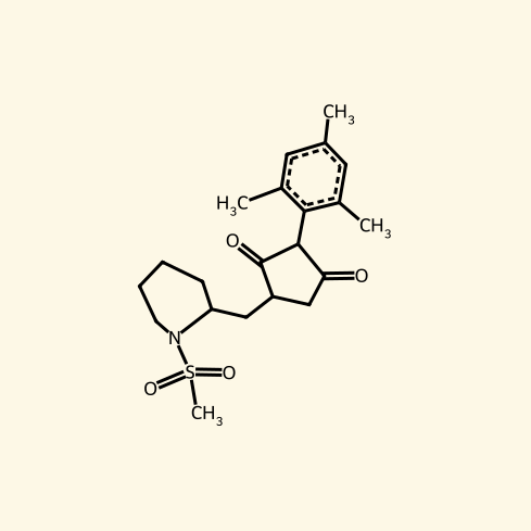 Cc1cc(C)c(C2C(=O)CC(CC3CCCCN3S(C)(=O)=O)C2=O)c(C)c1